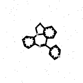 c1ccc2c(c1)N=C(c1ccncc1)c1cccc3c1N2CC3